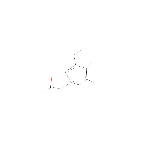 NC(=O)Oc1cc(CO)c(F)c(C(F)(F)F)c1